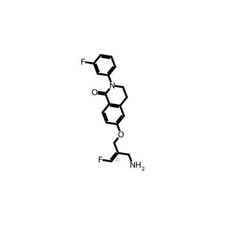 NC/C(=C/F)COc1ccc2c(c1)CCN(c1cccc(F)c1)C2=O